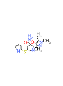 Cc1nn(C)c(C)c1OC1(C(N)=O)C=C(Sc2ccccn2)C=NC1